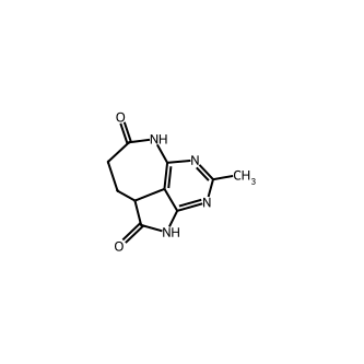 Cc1nc2c3c(n1)NC(=O)C3CCC(=O)N2